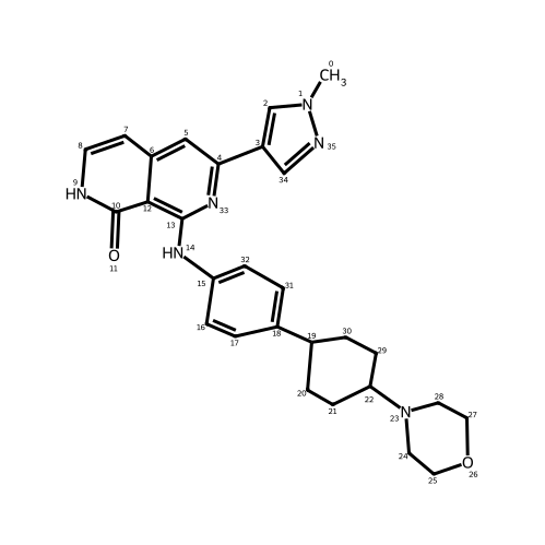 Cn1cc(-c2cc3cc[nH]c(=O)c3c(Nc3ccc(C4CCC(N5CCOCC5)CC4)cc3)n2)cn1